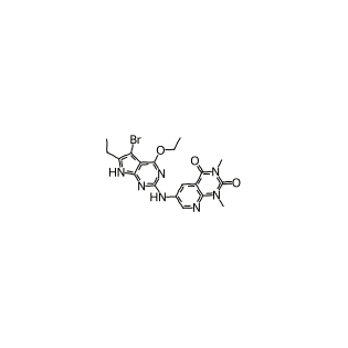 CCOc1nc(Nc2cnc3c(c2)c(=O)n(C)c(=O)n3C)nc2[nH]c(CC)c(Br)c12